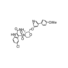 COc1ccc(-c2cncc(OC[C@@H]3CN(S(=O)(=O)c4c(C(N)=O)[nH]c5ccc(Cl)cc45)CCO3)c2)cc1